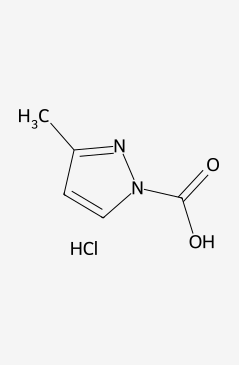 Cc1ccn(C(=O)O)n1.Cl